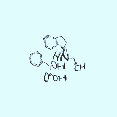 C#CCN[C@@H]1CCc2ccccc21.O=C(O)C(O)c1ccccc1